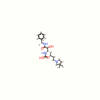 C[C@@H](NC(=O)C(O)[C@H](CCCCN1CCC(C)(C)C1)NC(=O)O)c1ccccc1